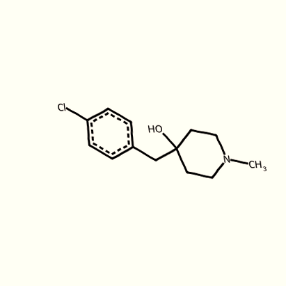 CN1CCC(O)(Cc2ccc(Cl)cc2)CC1